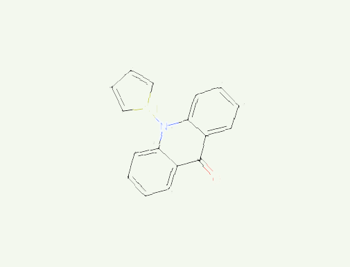 O=c1c2ccccc2n([SH]2C=CC=C2)c2ccccc12